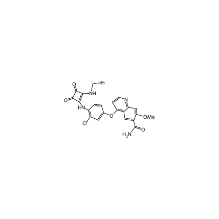 COc1cc2nccc(Oc3ccc(Nc4c(NCC(C)C)c(=O)c4=O)c(Cl)c3)c2cc1C(N)=O